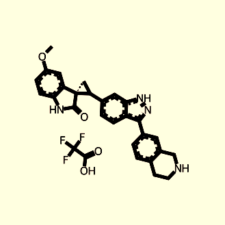 COc1ccc2c(c1)[C@]1(CC1c1ccc3c(-c4ccc5c(c4)CNCC5)n[nH]c3c1)C(=O)N2.O=C(O)C(F)(F)F